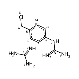 N=C(N)N.N=C(N)Nc1ccc(CCl)nc1